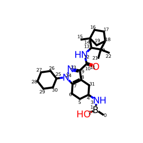 CB(O)NC1CCc2c(c(C(=O)NC3C4(C)CCC(C4)C3(C)C)nn2C2CCCCC2)C1